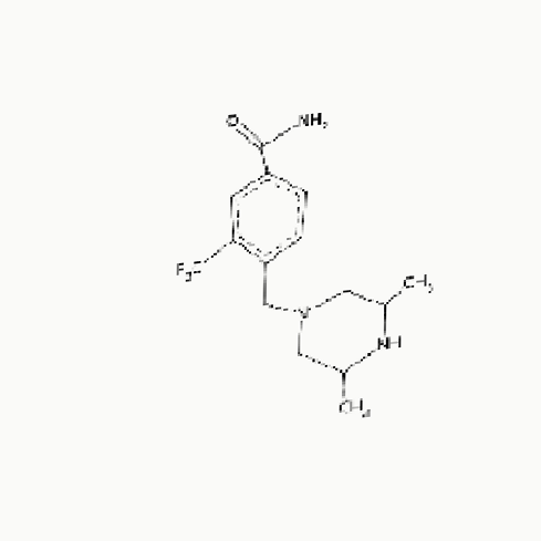 CC1CN(Cc2ccc(C(N)=O)cc2C(F)(F)F)CC(C)N1